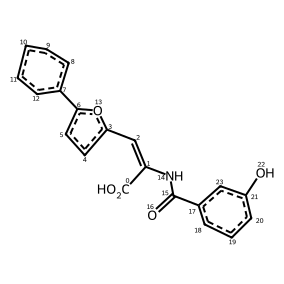 O=C(O)/C(=C\c1ccc(-c2ccccc2)o1)NC(=O)c1cccc(O)c1